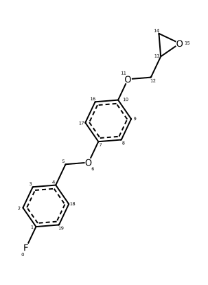 Fc1ccc(COc2ccc(OCC3CO3)cc2)cc1